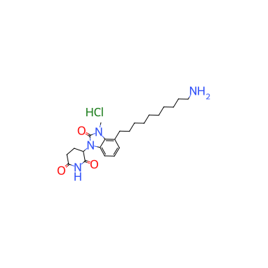 Cl.Cn1c(=O)n(C2CCC(=O)NC2=O)c2cccc(CCCCCCCCCCN)c21